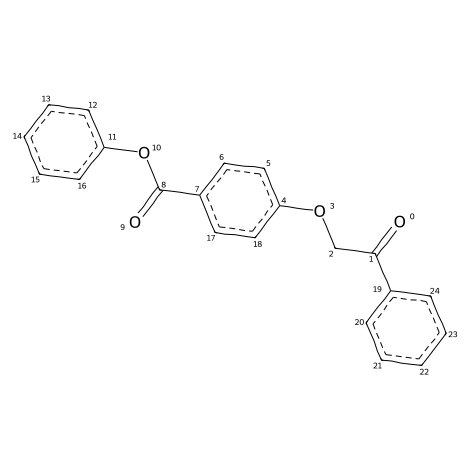 O=C(COc1ccc(C(=O)Oc2ccccc2)cc1)c1ccccc1